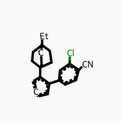 CCC12CCC(c3ccccc3-c3ccc(C#N)c(Cl)c3)(CC1)CC2